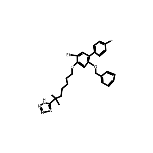 CCc1cc(-c2ccc(F)cc2)c(OCc2ccccc2)cc1OCCCCCC(C)(C)c1nnn[nH]1